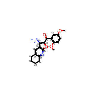 COc1ccc(OC)c(C(=O)c2oc3nc4c(cc3c2N)CCCC4)c1